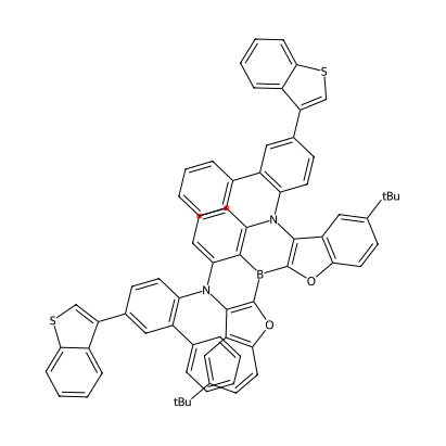 CC(C)(C)c1ccc2oc3c(c2c1)N(c1ccc(-c2csc4ccccc24)cc1-c1ccccc1)c1cccc2c1B3c1oc3ccc(C(C)(C)C)cc3c1N2c1ccc(-c2csc3ccccc23)cc1-c1ccccc1